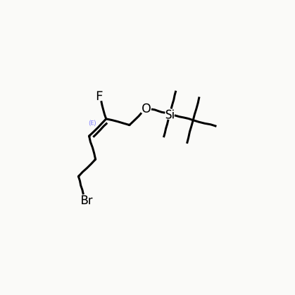 CC(C)(C)[Si](C)(C)OC/C(F)=C\CCBr